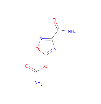 NC(=O)Oc1nc(C(N)=O)no1